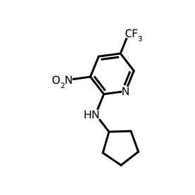 O=[N+]([O-])c1cc(C(F)(F)F)cnc1NC1CCCC1